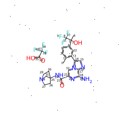 Cc1ccc(C(C)(O)C(F)(F)F)cc1-c1cnc2c(N)nc(C(=O)NC34CCN(CC3)C4)cn12.O=C(O)C(F)(F)F